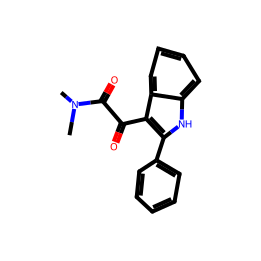 CN(C)C(=O)C(=O)c1c(-c2ccccc2)[nH]c2ccccc12